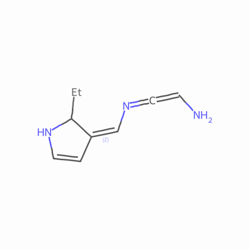 CCC1NC=C/C1=C/N=C=CN